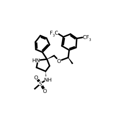 C[C@@H](OC[C@@]1(c2ccccc2)C[C@H](NS(C)(=O)=O)CN1)c1cc(C(F)(F)F)cc(C(F)(F)F)c1